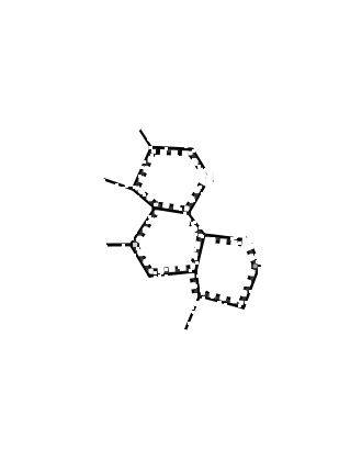 Cc1cnc2c(c(C)cc3c(C)ccnc32)c1C